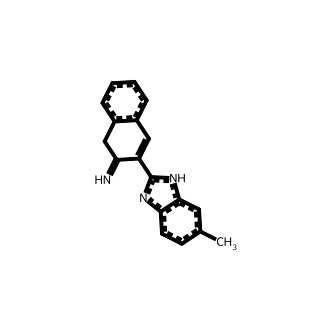 Cc1ccc2nc(C3=Cc4ccccc4CC3=N)[nH]c2c1